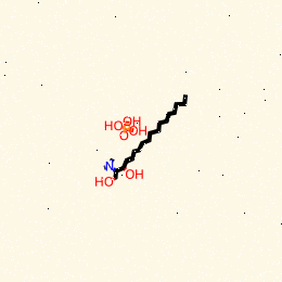 CCCCCCCCCCCCCC=CC(O)C(CO)N(C)C.O=P(O)(O)O